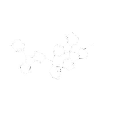 CCC(C)c1ccc2c(c1)C1(c3ccccc3-c3ccc(N(c4ccccc4)c4ccc5c(c4)c4ccccc4n5-c4ccccc4)cc31)c1cc(C(C)CC)ccc1-2